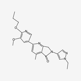 CCCOc1ncc(-c2cc(C)c3c(n2)CN(c2cnn(CC)c2)C3=O)cc1OC